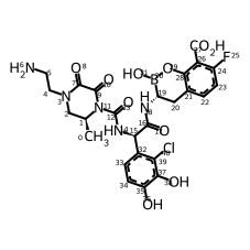 C[C@H]1CN(CCN)C(=O)C(=O)N1C(=O)N[C@@H](C(=O)N[C@H]1Cc2ccc(F)c(C(=O)O)c2OB1O)c1ccc(O)c(O)c1Cl